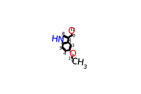 CCOc1ccc2[nH]cc(C=O)c2c1